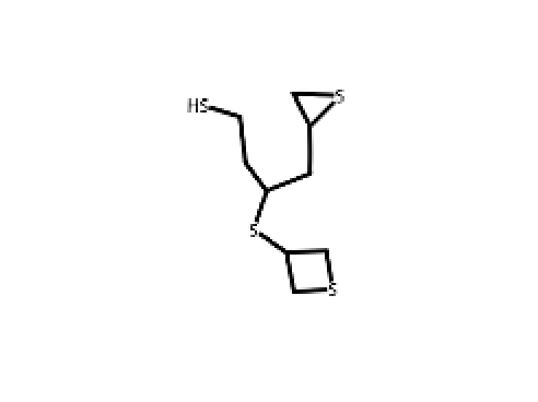 SCCC(CC1CS1)SC1CSC1